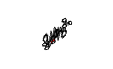 c1ccc(-n2c3ccccc3c3cc4c(cc32)c2ccccc2n4-c2cnc3nc(-n4c5ccccc5c5ccc6c7ccccc7n(-c7ccccc7)c6c54)ncc3n2)cc1